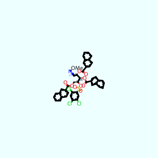 CO/N=C\[C@H](OC(=O)c1ccc2ccccc2c1)[C@@H](OC(=O)c1ccc2ccccc2c1)[C@H](COC(=O)c1ccc2ccccc2c1)OS(=O)(=O)c1cc(Cl)c(Cl)cc1Cl